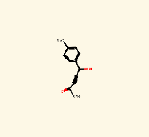 COC(=O)C#CC(O)c1ccc(OC)cc1